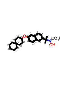 CC(C)(c1ccc2cc(OC3CCC4(CCCCC4)CC3)ccc2c1)N(O)C(=O)O